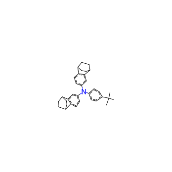 CC(C)(C)c1ccc(N(c2ccc3c(c2)C2CCC3CC2)c2ccc3c(c2)C2CCC3CC2)cc1